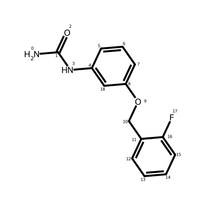 NC(=O)Nc1cccc(OCc2ccccc2F)c1